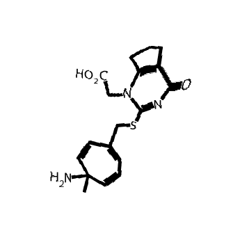 CC1(N)C=CC=C(CSc2nc(=O)c3c(n2CC(=O)O)CCC3)C=C1